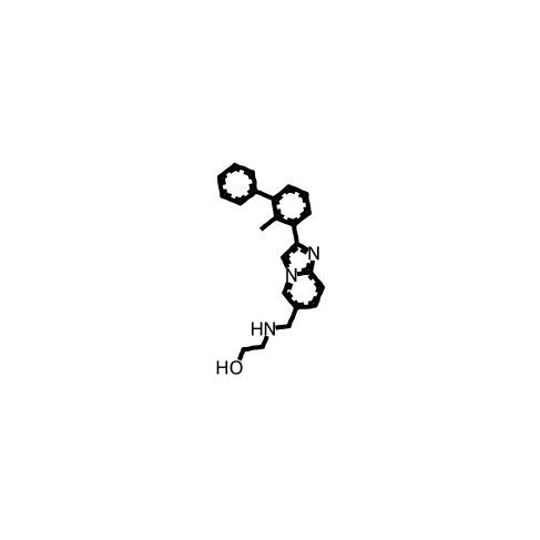 Cc1c(-c2ccccc2)cccc1-c1cn2cc(CNCCO)ccc2n1